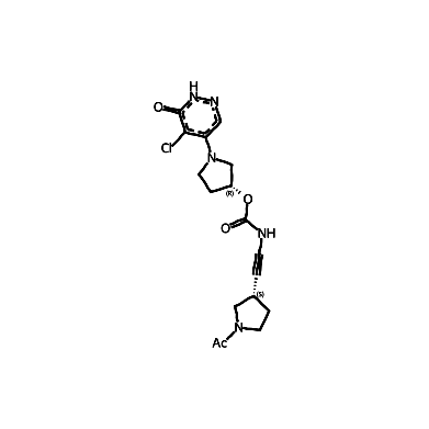 CC(=O)N1CC[C@@H](C#CNC(=O)O[C@@H]2CCN(c3cn[nH]c(=O)c3Cl)C2)C1